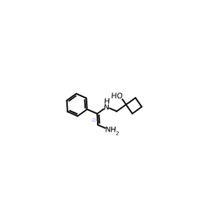 N/C=C(\NCC1(O)CCC1)c1ccccc1